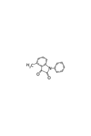 Cc1cccc2c1C(=O)C(=O)N2c1ccccc1